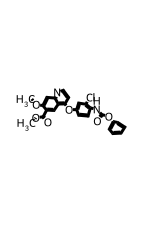 COC(=O)c1cc2c(Oc3ccc(NC(=O)Oc4ccccc4)c(Cl)c3)ccnc2cc1OC